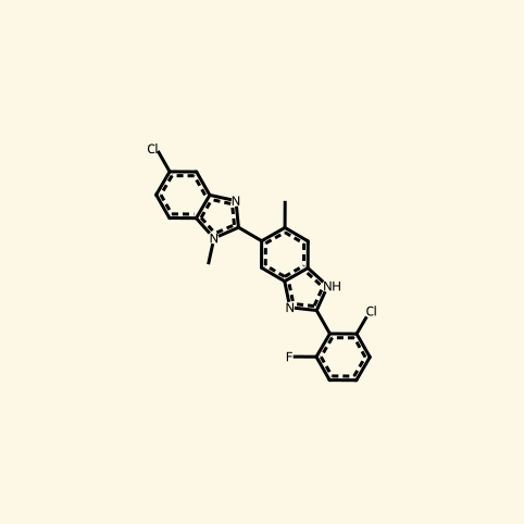 Cc1cc2[nH]c(-c3c(F)cccc3Cl)nc2cc1-c1nc2cc(Cl)ccc2n1C